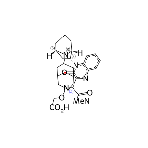 CNC(=O)/C(=N\OCC(=O)O)c1nc2ccccc2n([C@@H]2C[C@@H]3CCC[C@H]2N3C2CC3CCCC(C3)C2)c1=O